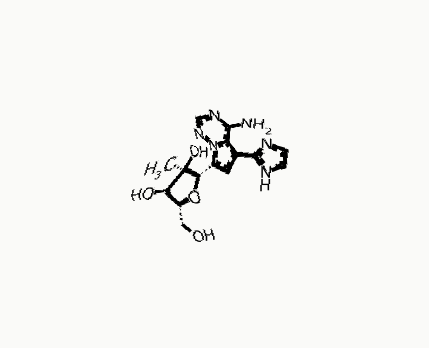 C[C@@]1(O)[C@H](O)[C@@H](CO)O[C@H]1c1cc(-c2ncc[nH]2)c2c(N)ncnn12